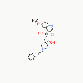 COc1ccc2ncc(Cl)c([C@@H](O)CCC3(CO)CCN(CCCc4c(F)cccc4F)CC3)c2c1